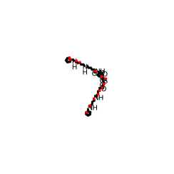 O=C(CCCCCNCCCCCNCc1ccccc1)Nc1ccn(C2CSC(COC(=O)CCCCCNCCCCCNCc3ccccc3)O2)c(=O)n1